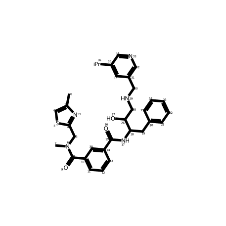 Cc1csc(CN(C)C(=O)c2cccc(C(=O)NC(Cc3ccccc3)C(O)CNCc3cncc(C(C)C)c3)c2)n1